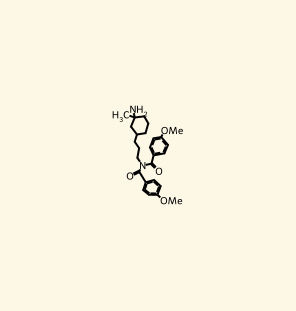 COc1ccc(C(=O)N(CCCC2CCCC(C)(N)C2)C(=O)c2ccc(OC)cc2)cc1